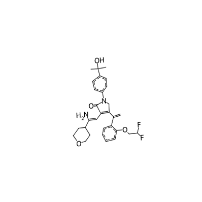 C=C(C1=C(/C=C(\N)C2CCOCC2)C(=O)N(c2ccc(C(C)(C)O)cc2)C1)c1ccccc1OCC(F)F